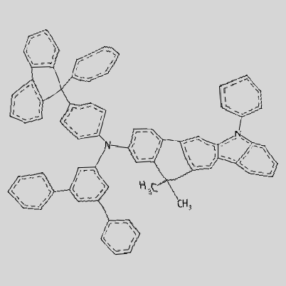 CC1(C)c2cc(N(c3ccc(C4(c5ccccc5)c5ccccc5-c5ccccc54)cc3)c3cc(-c4ccccc4)cc(-c4ccccc4)c3)ccc2-c2cc3c(cc21)c1ccccc1n3-c1ccccc1